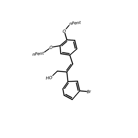 CCCCCOc1ccc(/C=C(\CO)c2cccc(Br)c2)cc1OCCCCC